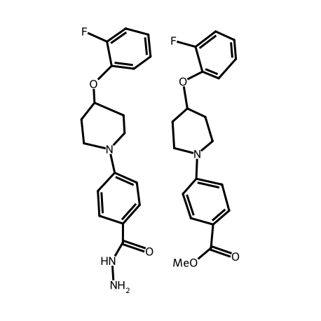 COC(=O)c1ccc(N2CCC(Oc3ccccc3F)CC2)cc1.NNC(=O)c1ccc(N2CCC(Oc3ccccc3F)CC2)cc1